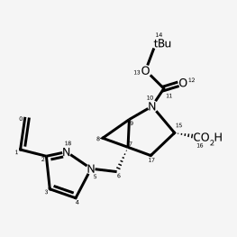 C=Cc1ccn(C[C@]23CC2N(C(=O)OC(C)(C)C)[C@H](C(=O)O)C3)n1